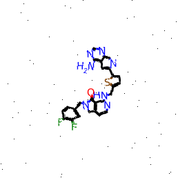 Nc1ncnc2cnc(-c3ccc(CNc4nccc5c4C(=O)N(Cc4ccc(F)c(F)c4)C5)s3)cc12